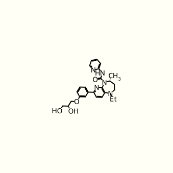 CCN1CC[C@@H](C)N(C(=O)Nc2ccccn2)c2nc(-c3cccc(OC[C@@H](O)CO)c3)ccc21